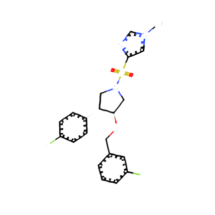 Cn1cnc(S(=O)(=O)N2C[C@@H](OCc3cccc(F)c3)[C@H](c3ccc(F)cc3)C2)c1